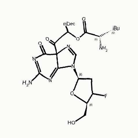 CCCCCCCCCCC(OC(=O)[C@@H](N)[C@@H](C)CC)C(=O)C12N=CN([C@H]3CC(F)[C@@H](CO)O3)C1=NC(N)=NC2=O